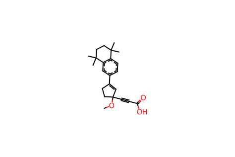 COC1(C#CC(=O)O)C=C(c2ccc3c(c2)C(C)(C)CCC3(C)C)CC1